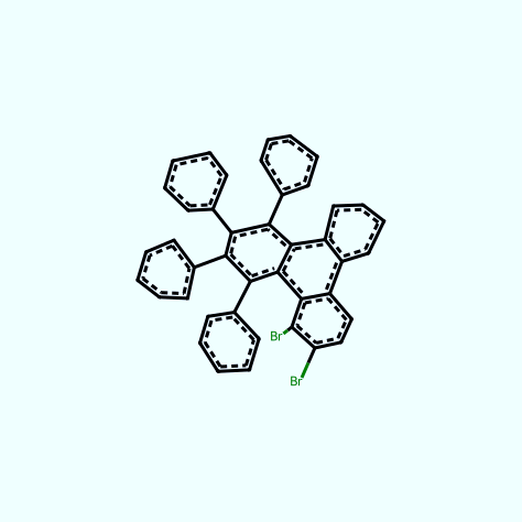 Brc1ccc2c3ccccc3c3c(-c4ccccc4)c(-c4ccccc4)c(-c4ccccc4)c(-c4ccccc4)c3c2c1Br